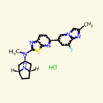 Cc1cn2cc(-c3ccc4nc(N(C)[C@@H]5C[C@H]6CC[C@@H](C5)N6)sc4n3)cc(F)c2n1.Cl